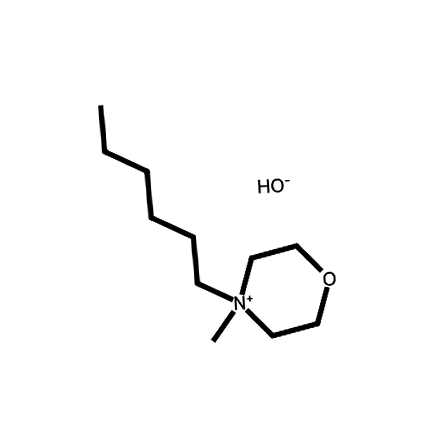 CCCCCC[N+]1(C)CCOCC1.[OH-]